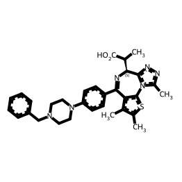 Cc1sc2c(c1C)C(c1ccc(N3CCN(Cc4ccccc4)CC3)cc1)=N[C@@H](C(C)C(=O)O)c1nnc(C)n1-2